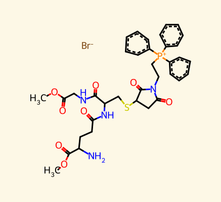 COC(=O)CNC(=O)C(CSC1CC(=O)N(CC[P+](c2ccccc2)(c2ccccc2)c2ccccc2)C1=O)NC(=O)CCC(N)C(=O)OC.[Br-]